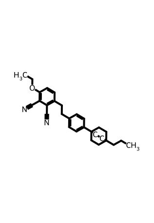 CCCC12CCC(c3ccc(CCc4ccc(OCC)c(C#N)c4C#N)cc3)(CC1)CC2